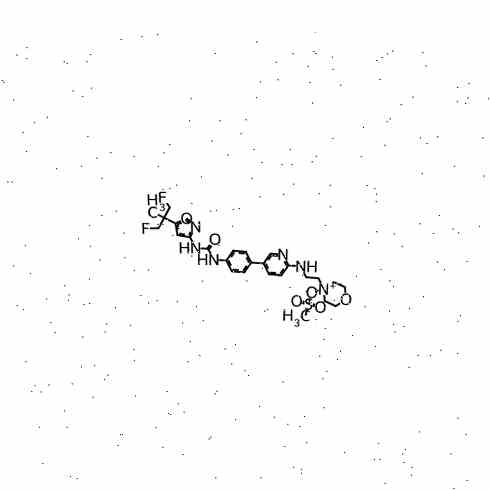 CC(CF)(CF)c1cc(NC(=O)Nc2ccc(-c3ccc(NCC[N+]4(OS(C)(=O)=O)CCOCC4)nc3)cc2)no1